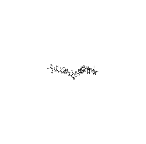 CC(=O)NCCNCc1ccc2nc(CCc3cccc(CCc4cn5cc(CNCCNC(C)=O)ccc5n4)c3C)cn2c1